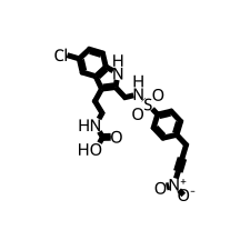 O=C(O)NCCc1c(CNS(=O)(=O)c2ccc(CC#C[N+](=O)[O-])cc2)[nH]c2ccc(Cl)cc12